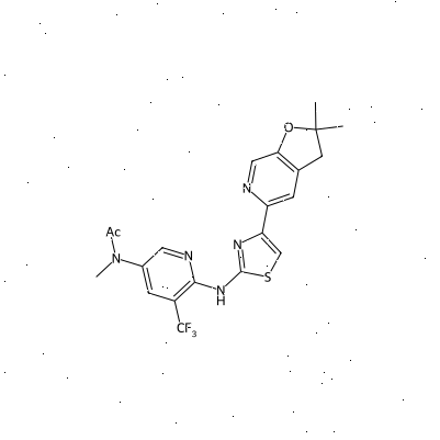 CC(=O)N(C)c1cnc(Nc2nc(-c3cc4c(cn3)OC(C)(C)C4)cs2)c(C(F)(F)F)c1